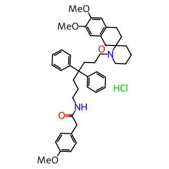 COc1ccc(CC(=O)NCCCC(CCCN2CCCCC23CCc2cc(OC)c(OC)cc2C3=O)(c2ccccc2)c2ccccc2)cc1.Cl